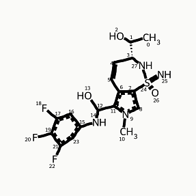 CC(O)[C@H]1C=Cc2c(cn(C)c2C(O)Nc2cc(F)c(F)c(F)c2)S(=N)(=O)N1